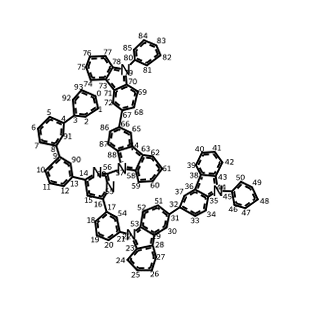 c1ccc(-c2cccc(-c3cccc(-c4cc(-c5cccc(-n6c7ccccc7c7cc(-c8ccc9c(c8)c8ccccc8n9-c8ccccc8)ccc76)c5)nc(-n5c6ccccc6c6cc(-c7ccc8c(c7)c7ccccc7n8-c7ccccc7)ccc65)n4)c3)c2)cc1